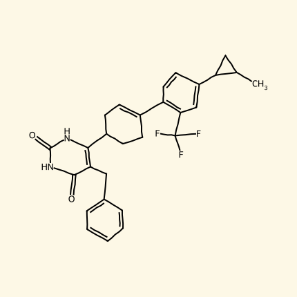 CC1CC1c1ccc(C2=CCC(c3[nH]c(=O)[nH]c(=O)c3Cc3ccccc3)CC2)c(C(F)(F)F)c1